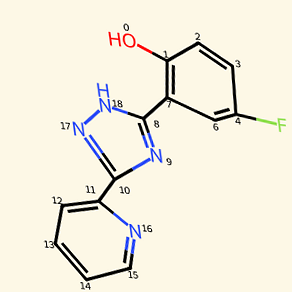 Oc1ccc(F)cc1-c1nc(-c2ccccn2)n[nH]1